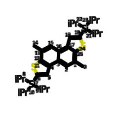 Cc1cc2c3cc([Si](C(C)C)(C(C)C)C(C)C)sc3c(C)cc2c2cc([Si](C(C)C)(C(C)C)C(C)C)sc12